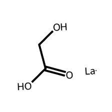 O=C(O)CO.[La]